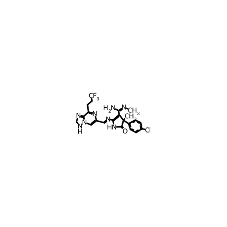 C/N=C(/N)C1=C(/N=C/C2=CN3NCN=C3C(CCC(F)(F)F)=N2)NC(=O)C1(C)c1ccc(Cl)cc1